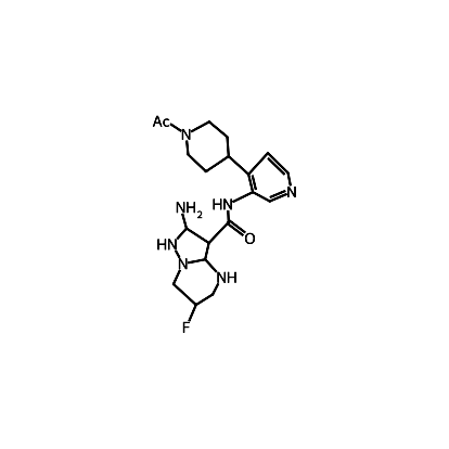 CC(=O)N1CCC(c2ccncc2NC(=O)C2C(N)NN3CC(F)CNC23)CC1